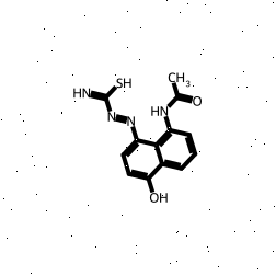 CC(=O)Nc1cccc2c(O)ccc(/N=N/C(=N)S)c12